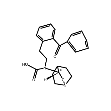 O=C(c1ccccc1)c1ccccc1CCN(C(=O)O)[C@H]1CN2CCC1CC2